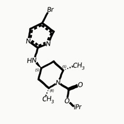 CC(C)OC(=O)N1[C@H](C)C[C@@H](Nc2ncc(Br)cn2)C[C@@H]1C